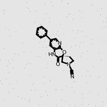 N#CN1CC[C@@]2(C1)Oc1ncc(-c3ccccc3)cc1NC2=O